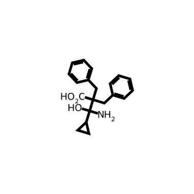 NC(O)(C1CC1)C(Cc1ccccc1)(Cc1ccccc1)C(=O)O